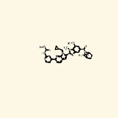 COC(=O)Nc1cc(-c2ccc3cc(-c4nc5cc(C(=O)N6CC7CCC6[C@@H]7C)cc(OC)c5n4C)n(CC4CC4)c3n2)ccn1